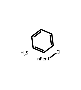 CCCCCCl.S.c1ccccc1